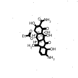 C=C1c2ccc(N)c(O)c2C(=O)C2=C(O)[C@]3(O)C(=O)C(C(N)=O)=C(O)C[C@@H]3[C@@H](OC(=O)CC)[C@H]12